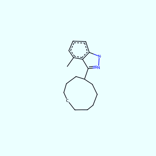 Cc1cccc2c1C(C1CCCCCCCCC1)=N[N]2